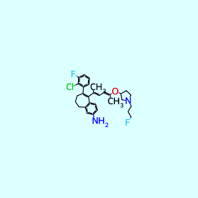 C/C(=C\C=C(/C)C1=C(c2cccc(F)c2Cl)CCCc2cc(N)ccc21)OC1CCN(CCCF)C1